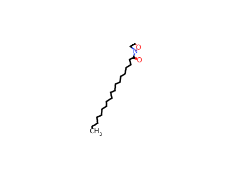 CCCCCCCCCCCCCCCCCCC(=O)N1CCO1